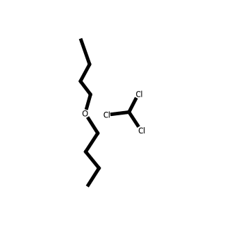 CCCCOCCCC.ClC(Cl)Cl